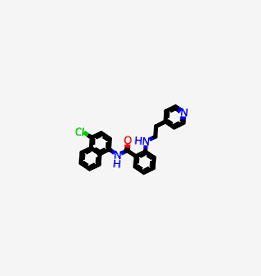 O=C(Nc1ccc(Cl)c2ccccc12)c1ccccc1NCCc1ccncc1